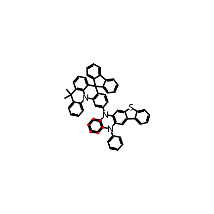 CC1(C)c2ccccc2N2c3cc(N(c4ccccc4)c4cc5sc6ccccc6c5cc4N(c4ccccc4)c4ccccc4)ccc3C3(c4ccccc4-c4ccccc43)c3cccc1c32